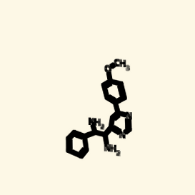 COc1ccc(-c2cc(C(N)C(N)c3ccccc3)ncn2)cc1